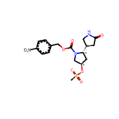 CS(=O)(=O)O[C@@H]1C[C@@H](C2CNC(=O)C2)N(C(=O)OCc2ccc([N+](=O)[O-])cc2)C1